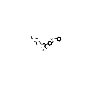 Nc1ncnn2c(C3CN4CCN(CCO)CC4CO3)cc(-c3ccc4cn(Cc5ccccc5)nc4c3)c12